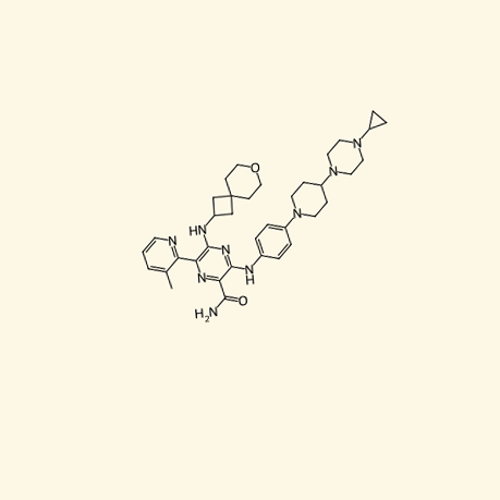 Cc1cccnc1-c1nc(C(N)=O)c(Nc2ccc(N3CCC(N4CCN(C5CC5)CC4)CC3)cc2)nc1NC1CC2(CCOCC2)C1